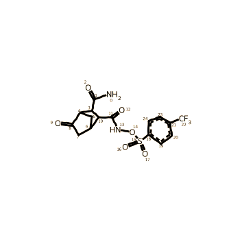 NC(=O)C1C2CC(CC2=O)C1C(=O)NOS(=O)(=O)c1ccc(C(F)(F)F)cc1